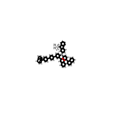 CC1(C)c2ccccc2-c2ccc(N(c3ccc(-c4cccc5ccccc45)cc3)c3ccc(-c4ccc(-c5ccc(C67CC8CC(CC(C8)C6)C7)cc5)cc4)cc3-c3ccc4ccccc4c3)cc21